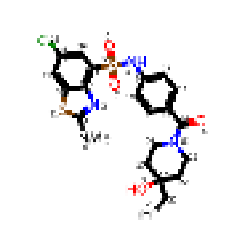 CNc1nc2c(S(=O)(=O)Nc3ccc(C(=O)N4CCC(O)(CC(C)C)CC4)cc3)cc(Cl)cc2s1